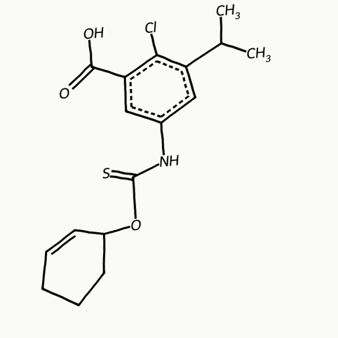 CC(C)c1cc(NC(=S)OC2C=CCCC2)cc(C(=O)O)c1Cl